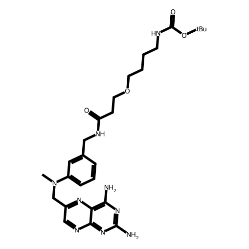 CN(Cc1cnc2nc(N)nc(N)c2n1)c1cccc(CNC(=O)CCOCCCCNC(=O)OC(C)(C)C)c1